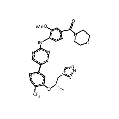 COc1cc(C(=O)N2CCOCC2)ccc1Nc1ncc(-c2ccc(C(F)(F)F)c(O[C@@H](C)Cn3cnnn3)c2)cn1